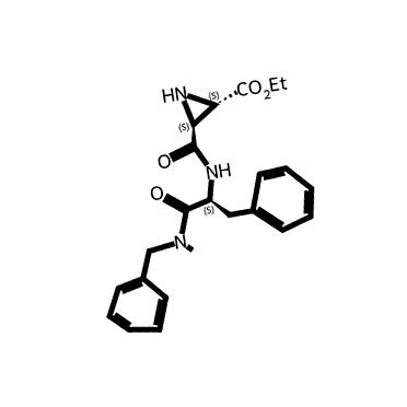 CCOC(=O)[C@H]1N[C@@H]1C(=O)N[C@@H](Cc1ccccc1)C(=O)N(C)Cc1ccccc1